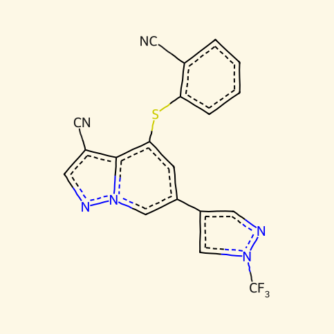 N#Cc1ccccc1Sc1cc(-c2cnn(C(F)(F)F)c2)cn2ncc(C#N)c12